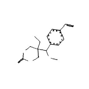 C=Cc1ccc(C(OC)C2(CC)COC(=O)OC2)cc1